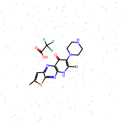 CCc1[nH]c2nc3sc(C)cc3nc2c(=O)c1N1CCNCC1.O=C(O)C(F)(F)F